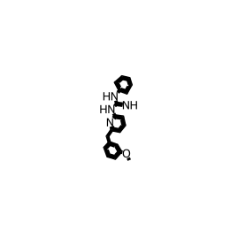 COc1cccc(Cc2cccc(NC(=N)Nc3ccccc3)n2)c1